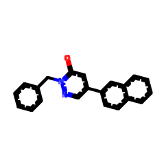 O=c1cc(-c2ccc3ccccc3c2)cnn1Cc1ccccc1